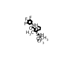 Cc1c(SNC(C)OC(F)(F)F)c2n(c1C(=O)Nc1cc(F)c(F)c(F)c1)CCC2